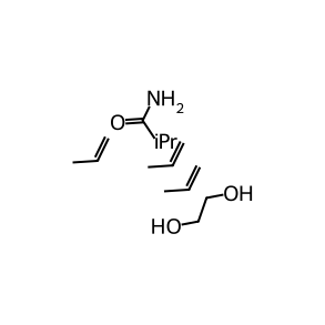 C=CC.C=CC.C=CC.CC(C)C(N)=O.OCCO